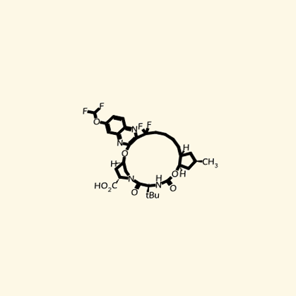 C[C@@H]1C[C@H]2CCCCC(F)(F)c3nc4ccc(OC(F)F)cc4nc3O[C@@H]3C[C@@H](C(=O)O)N(C3)C(=O)[C@H](C(C)(C)C)NC(=O)O[C@@H]2C1